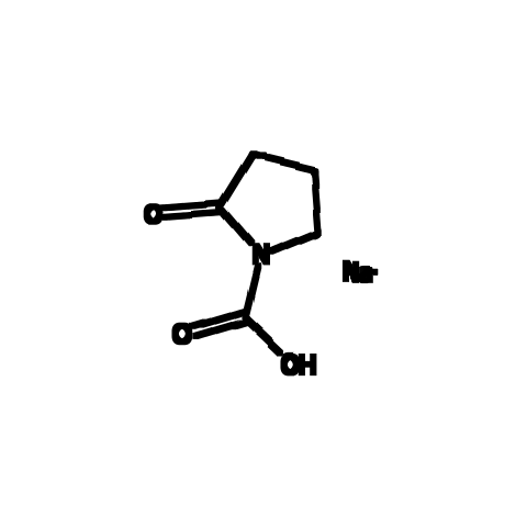 O=C(O)N1CCCC1=O.[Na]